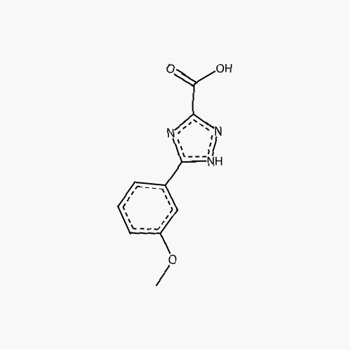 COc1cccc(-c2nc(C(=O)O)n[nH]2)c1